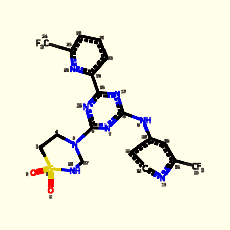 O=S1(=O)CCN(c2nc(Nc3ccnc(C(F)(F)F)c3)nc(-c3cccc(C(F)(F)F)n3)n2)CN1